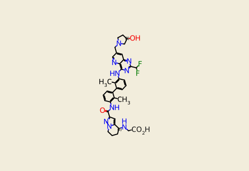 Cc1c(NC(=O)c2cc3n(n2)CCC[C@@H]3NCC(=O)O)cccc1-c1cccc(Nc2nc(C(F)F)nc3cc(CN4CC[C@@H](O)C4)cnc23)c1C